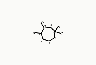 CC1CC[CH]C(C)(C)CC1C